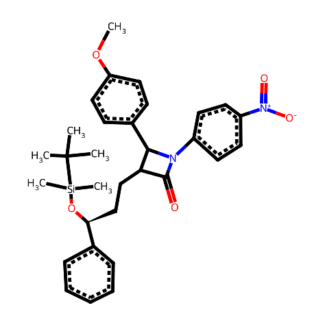 COc1ccc(C2C(CC[C@H](O[Si](C)(C)C(C)(C)C)c3ccccc3)C(=O)N2c2ccc([N+](=O)[O-])cc2)cc1